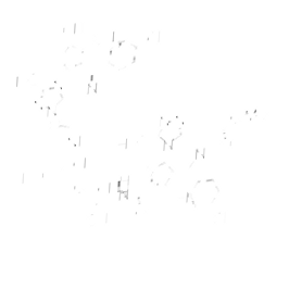 COC(=O)CC1N=C(c2ccc(Cl)cc2)c2c(sc(C(=O)NCC(C)(C)COCC(C)(C)CNC(=O)CC3N=C(c4ccc(Cl)cc4)c4c(sc(C)c4C)-n4c(C)nnc43)c2C)-n2c(C)nnc21